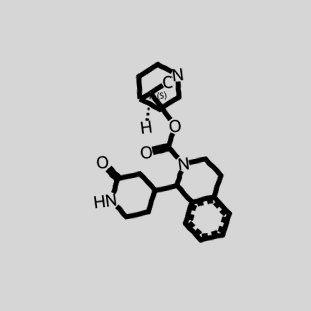 O=C1CC(C2c3ccccc3CCN2C(=O)O[C@@H]2CN3CCC2CC3)CCN1